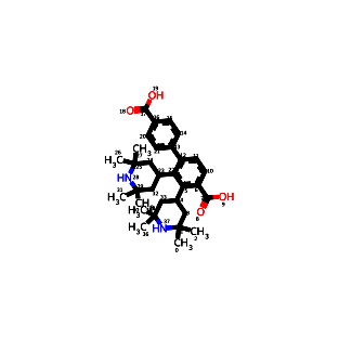 CC1(C)CC(c2c(C(=O)O)ccc(-c3ccc(C(=O)O)cc3)c2C2CC(C)(C)NC(C)(C)C2)CC(C)(C)N1